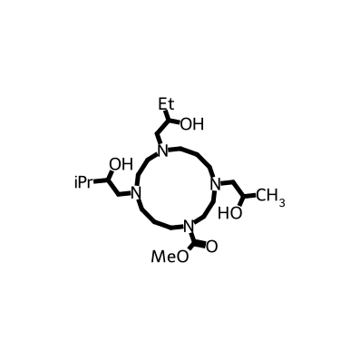 CCC(O)CN1CCCN(CC(C)O)CCN(C(=O)OC)CCCN(CC(O)C(C)C)CC1